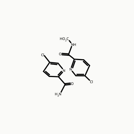 NC(=O)c1ccc(Cl)cn1.O=C(O)NC(=O)c1ccc(Cl)cn1